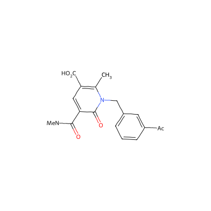 CNC(=O)c1cc(C(=O)O)c(C)n(Cc2cccc(C(C)=O)c2)c1=O